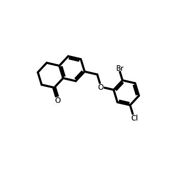 O=C1CCCc2ccc(COc3cc(Cl)ccc3Br)cc21